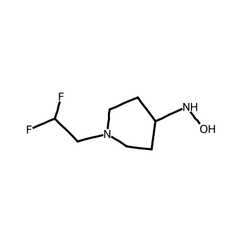 ONC1CCN(CC(F)F)CC1